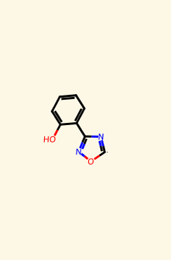 Oc1ccccc1-c1n[c]on1